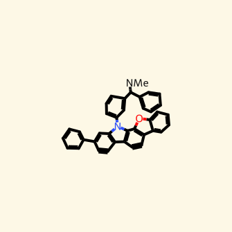 CNC(c1ccccc1)c1cccc(-n2c3cc(-c4ccccc4)c#cc3c3c#cc4c5ccccc5oc4c32)c1